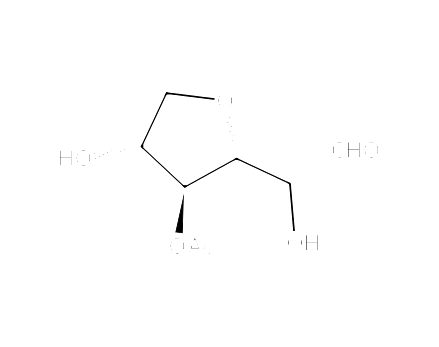 CC(=O)O[C@@H]1[C@@H]([C@@H](O)C=O)OC[C@H]1O